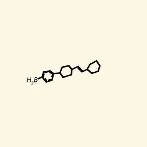 Bc1ccc(C2CCC(C=CC3CCCCC3)CC2)cc1